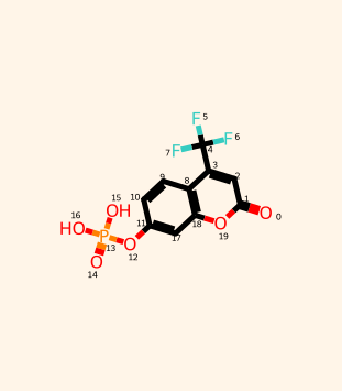 O=c1cc(C(F)(F)F)c2ccc(OP(=O)(O)O)cc2o1